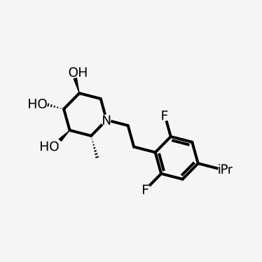 CC(C)c1cc(F)c(CCN2C[C@H](O)[C@@H](O)[C@H](O)[C@H]2C)c(F)c1